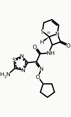 Nc1nc(C(=NOC2CCCC2)C(=O)NC2C(=O)N3C=CCS[C@@H]23)ns1